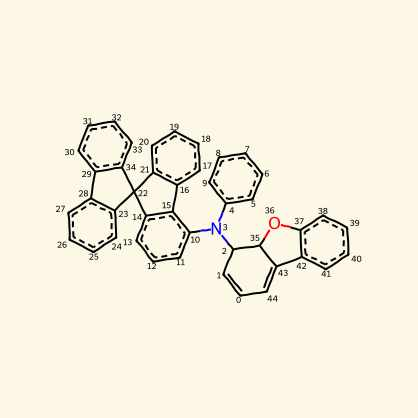 C1=CC(N(c2ccccc2)c2cccc3c2-c2ccccc2C32c3ccccc3-c3ccccc32)C2Oc3ccccc3C2=C1